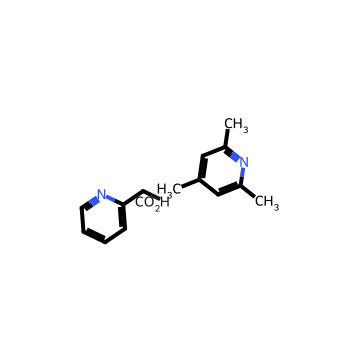 Cc1cc(C)nc(C)c1.O=C(O)Cc1ccccn1